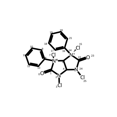 O=C1N(Cl)C2C([N@+]1(Cl)c1ccccc1)[N@@+](Cl)(c1ccccc1)C(=O)N2Cl